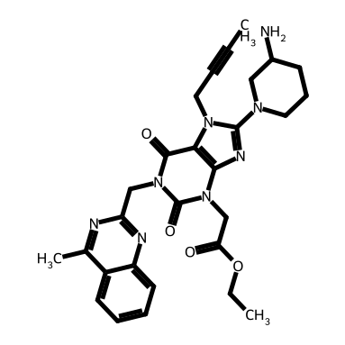 CC#CCn1c(N2CCCC(N)C2)nc2c1c(=O)n(Cc1nc(C)c3ccccc3n1)c(=O)n2CC(=O)OCC